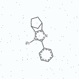 CC(C)n1c(-c2ccccc2)nc2c1C1CCC2C1